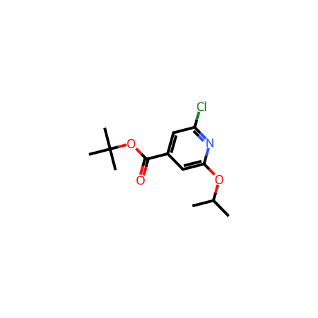 CC(C)Oc1cc(C(=O)OC(C)(C)C)cc(Cl)n1